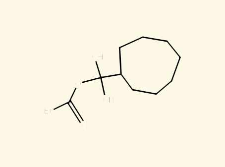 CCC(=O)OC(C)(C)C1CCCCCCC1